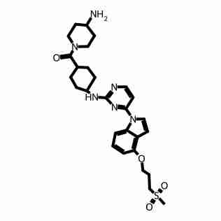 CS(=O)(=O)CCCOc1cccc2c1ccn2-c1ccnc(NC2CCC(C(=O)N3CCC(N)CC3)CC2)n1